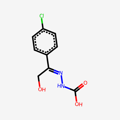 O=C(O)NN=C(CO)c1ccc(Cl)cc1